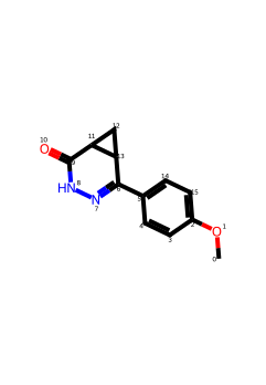 COc1ccc(C2=NNC(=O)C3CC23)cc1